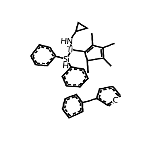 CC1=C(C)C(C)[C]([Ti]([NH]C2CC2)[SiH](c2ccccc2)c2ccccc2)=C1C.c1ccc(-c2ccccc2)cc1